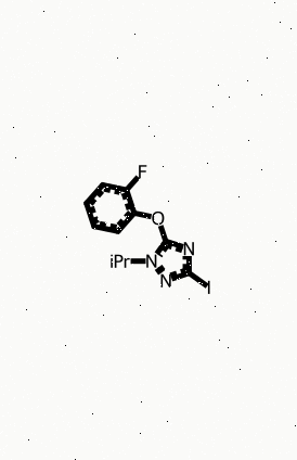 CC(C)n1nc(I)nc1Oc1ccccc1F